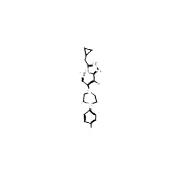 Fc1ccc(N2CCN(c3cnn4c(CC5CC5)nnc4c3Cl)CC2)cc1